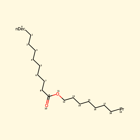 CCCCCCCCCCCCCCCCCCC(=O)OCCCCCCCC(C)C